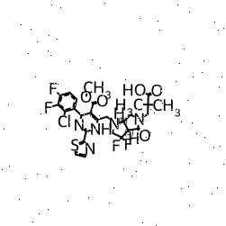 COC(=O)C1=C(CN2CC(F)(F)[C@@H]3C(=O)N(CC(C)(C)C(=O)O)C[C@@H]32)NC(c2nccs2)=NC1c1ccc(F)c(F)c1Cl